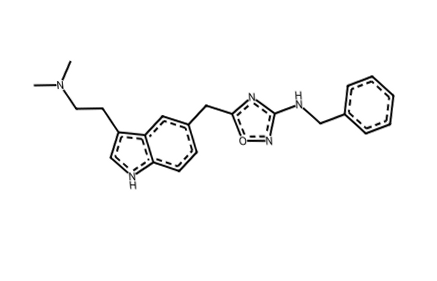 CN(C)CCc1c[nH]c2ccc(Cc3nc(NCc4ccccc4)no3)cc12